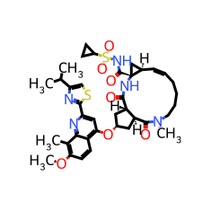 COc1ccc2c(O[C@H]3C[C@@H]4C(=O)N[C@]5(C(=O)NS(=O)(=O)C6CC6)C[C@H]5/C=C\CCCCN(C)C(=O)[C@H]4C3)cc(-c3nc(C(C)C)cs3)nc2c1C